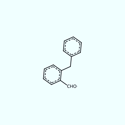 O=[C]c1ccccc1Cc1ccccc1